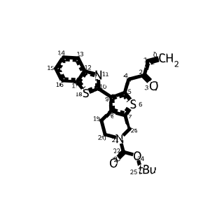 C=CC(=O)Cc1sc2c(c1-c1nc3ccccc3s1)CCN(C(=O)OC(C)(C)C)C2